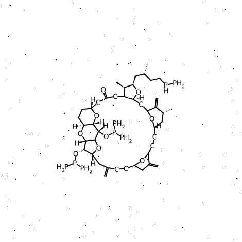 C=C1CCC2CC(=C)C(CC[C@H]3C[C@@H](C)C(=C)C(C[C@@H]4O[C@H](C[C@H](C)CCPP)[C@H](C)C4CC(=O)C[C@H]4CC[C@@H]5O[C@@H]6C(O[C@H](C1)[C@@H]6OP(P)P)[C@@H](OP(P)P)[C@H]5O4)O3)O2